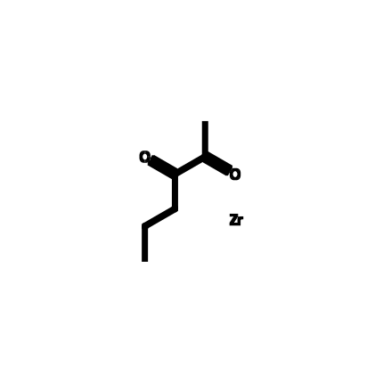 CCCC(=O)C(C)=O.[Zr]